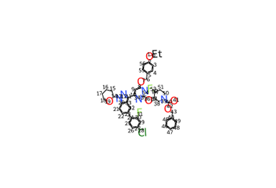 CCOc1ccc(COc2cc(-c3nn(C4CCCCO4)c4ccc(-c5ccc(Cl)cc5F)cc34)nc(O[C@H]3CN(C(=O)OCc4ccccc4)CC[C@@H]3F)n2)cc1